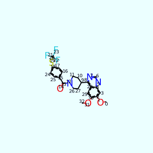 COc1cc2ncnc(C3CCN(C(=O)c4ccc(SC(F)(F)F)cc4)CC3)c2cc1OC